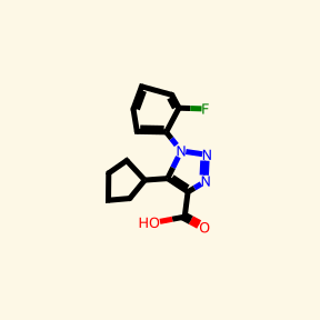 O=C(O)c1nnn(-c2ccccc2F)c1C1CCCC1